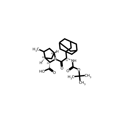 CC1C[C@@H]2C[C@H]1[C@@H](C(=O)O)N2C(=O)[C@@H](NC(=O)OC(C)(C)C)C12CC3CC(CC(C3)C1)C2